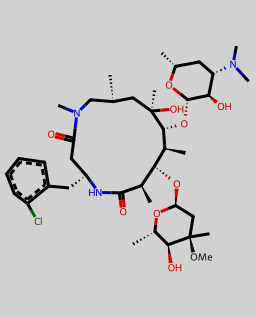 CO[C@]1(C)C[C@H](O[C@H]2[C@H](C)[C@@H](O[C@@H]3O[C@H](C)C[C@H](N(C)C)[C@H]3O)[C@](C)(O)C[C@@H](C)CN(C)C(=O)C[C@@H](Cc3ccccc3Cl)NC(=O)[C@@H]2C)O[C@@H](C)[C@@H]1O